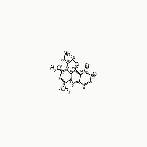 C=C1C=C(C)c2cc3ccc(=O)n(CC)c3c3c2N1C(CN)CO3